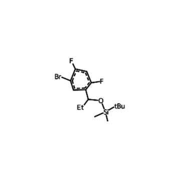 CCC(O[Si](C)(C)C(C)(C)C)c1cc(Br)c(F)cc1F